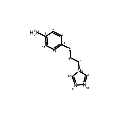 Nc1ccc(SCCn2cnnc2)cc1